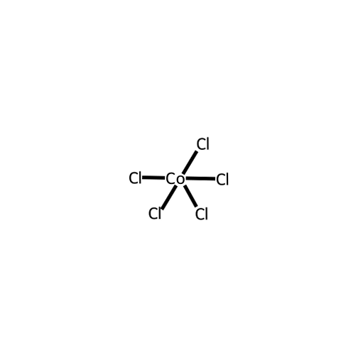 [Cl][Co]([Cl])([Cl])([Cl])[Cl]